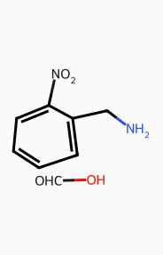 NCc1ccccc1[N+](=O)[O-].O=CO